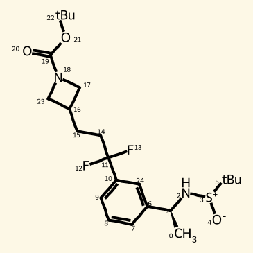 C[C@H](N[S+]([O-])C(C)(C)C)c1cccc(C(F)(F)CCC2CN(C(=O)OC(C)(C)C)C2)c1